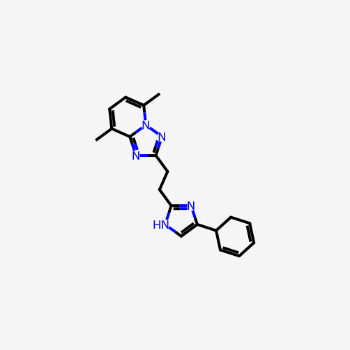 Cc1ccc(C)n2nc(CCc3nc(C4C=CC=CC4)c[nH]3)nc12